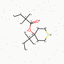 CCC(C)(C)C(=O)OC1(C(C)(C)CC)CCSCC1